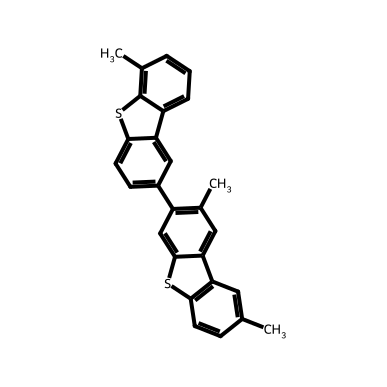 Cc1ccc2sc3cc(-c4ccc5sc6c(C)cccc6c5c4)c(C)cc3c2c1